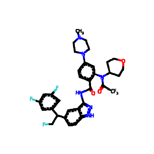 CN1CCN(c2ccc(C(=O)Nc3n[nH]c4ccc(C(CF)c5cc(F)cc(F)c5)cc34)c(N(C(=O)C(F)(F)F)C3CCOCC3)c2)CC1